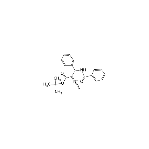 CC(C)(C)OC(=O)C(=[N+]=[N-])C(NC(=O)c1ccccc1)c1ccccc1